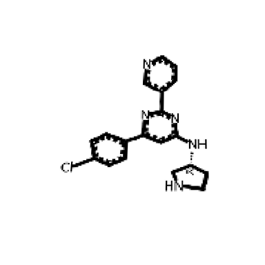 Clc1ccc(-c2cc(N[C@@H]3CCNC3)nc(-c3cccnc3)n2)cc1